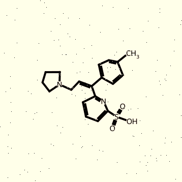 Cc1ccc(C(=CCN2CCCC2)c2cccc(S(=O)(=O)O)n2)cc1